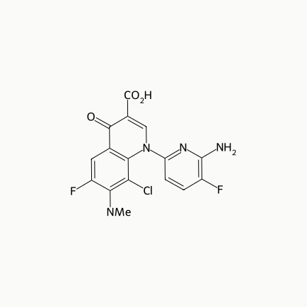 CNc1c(F)cc2c(=O)c(C(=O)O)cn(-c3ccc(F)c(N)n3)c2c1Cl